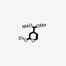 CCOC1CC(C(OC)OC)C=CO1